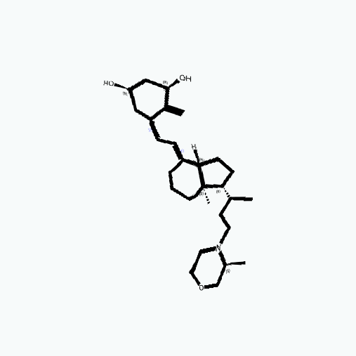 C=C1/C(=C\C=C2/CCC[C@]3(C)[C@@H](C(C)CCN4CCOC[C@@H]4C)CC[C@@H]23)C[C@@H](O)C[C@H]1O